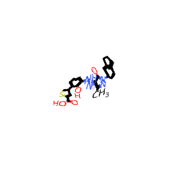 CC1=NN(c2ccc3c(c2)CCC3)C(=O)/C1=N\Nc1cccc(C2C=C(C(=O)O)SC2)c1O